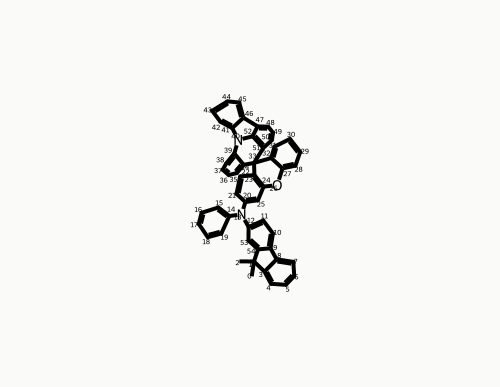 CC1(C)c2ccccc2-c2ccc(N(c3ccccc3)c3ccc4c(c3)Oc3ccccc3C43c4ccccc4-n4c5ccccc5c5cccc3c54)cc21